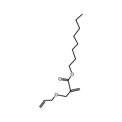 C=CCOCC(=C)C(=O)OCCCCCCCC